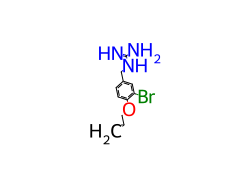 C=CCOc1ccc(CNC(=N)N)cc1Br